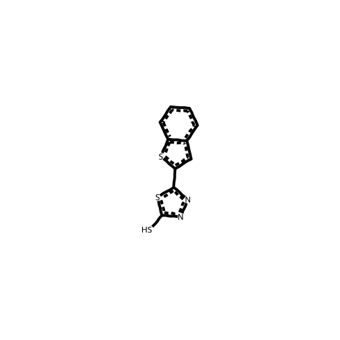 Sc1nnc(-c2cc3ccccc3s2)s1